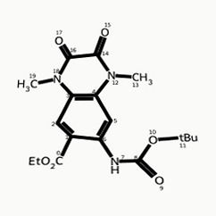 CCOC(=O)c1cc2c(cc1NC(=O)OC(C)(C)C)n(C)c(=O)c(=O)n2C